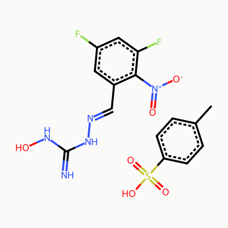 Cc1ccc(S(=O)(=O)O)cc1.N=C(NO)N/N=C/c1cc(F)cc(F)c1[N+](=O)[O-]